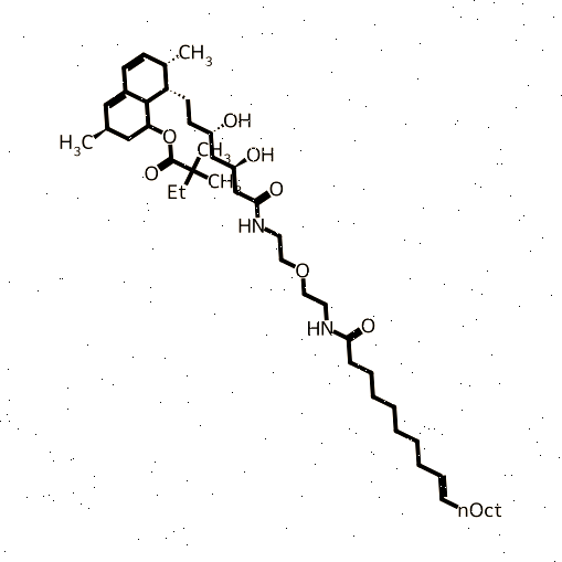 CCCCCCCCC=CCCCCCCCC(=O)NCCOCCNC(=O)C[C@H](O)C[C@@H](O)CC[C@@H]1C2C(=C[C@H](C)CC2OC(=O)C(C)(C)CC)C=C[C@@H]1C